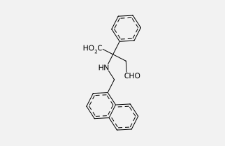 O=CCC(NCc1cccc2ccccc12)(C(=O)O)c1ccccc1